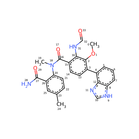 COc1c(-c2cccc3[nH]cnc23)ccc(C(=O)N(C)c2ccc(C)cc2C(N)=O)c1NC=O